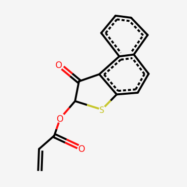 C=CC(=O)OC1Sc2ccc3ccccc3c2C1=O